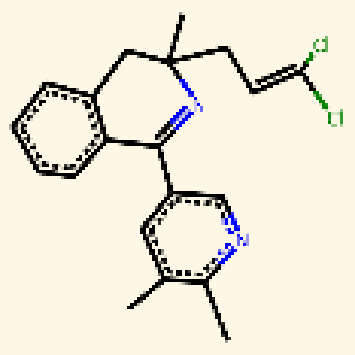 Cc1cc(C2=NC(C)(CC=C(Cl)Cl)Cc3ccccc32)cnc1C